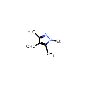 CCn1nc(C)c(C=O)c1C